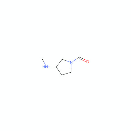 CNC1CCN([C]=O)C1